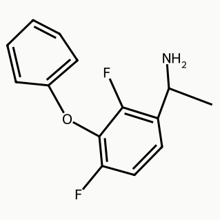 CC(N)c1ccc(F)c(Oc2ccccc2)c1F